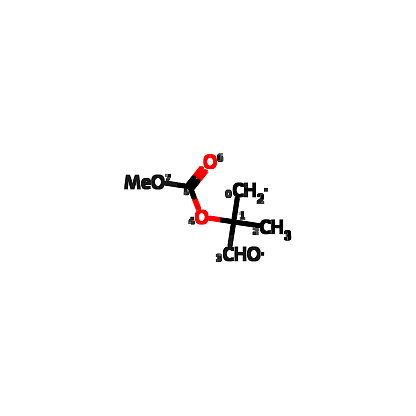 [CH2]C(C)([C]=O)OC(=O)OC